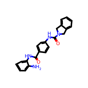 Nc1ccccc1NC(=O)c1ccc(NC(=O)N2Cc3ccccc3C2)cc1